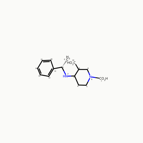 C[C@H](NC1CCN(C(=O)O)CC1C(=O)O)c1ccccc1